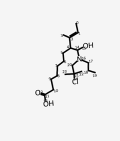 C/C=C(\C)C(CCCCCCC(=O)O)C(O)N(CCC)CC(C)(C)Cl